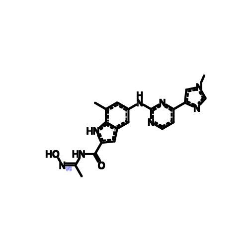 C/C(=N/O)NC(=O)c1cc2cc(Nc3nccc(-c4cn(C)cn4)n3)cc(C)c2[nH]1